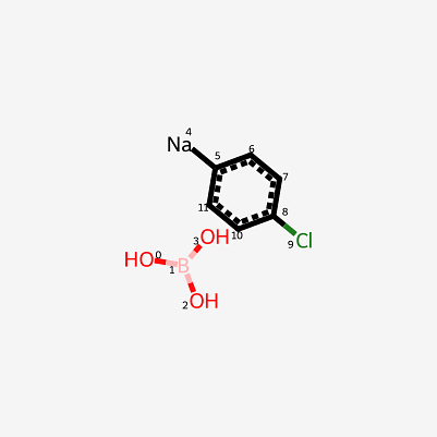 OB(O)O.[Na][c]1ccc(Cl)cc1